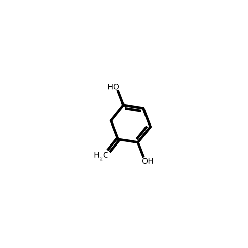 C=C1CC(O)=CC=C1O